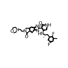 Cc1cc(F)cc(C[C@H](C)Nc2cc[nH]c(=O)c2-c2nc3cc4c(cc3[nH]2)CN(CCN2CCOCC2)C4=O)c1F